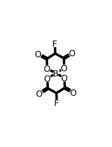 O=C1O[B-]2(OC(=O)C1F)OC(=O)C(F)C(=O)O2